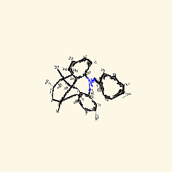 C[C@H]1CC(C)(C)C2(c3ccccc3N(c3ccccc3)c3ccccc32)C1(C)C